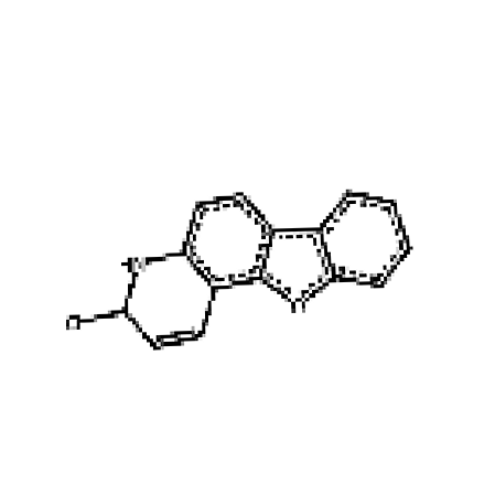 ClC1C=Cc2c(ccc3c2oc2ccccc23)N1